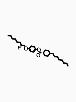 CCCCCCCC[C@H]1CC[C@H](C(=O)Oc2ccc(OCC(F)CCCCCC)cc2)CC1